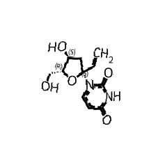 C=C[C@]1(n2ccc(=O)[nH]c2=O)C[C@H](O)[C@@H](CO)O1